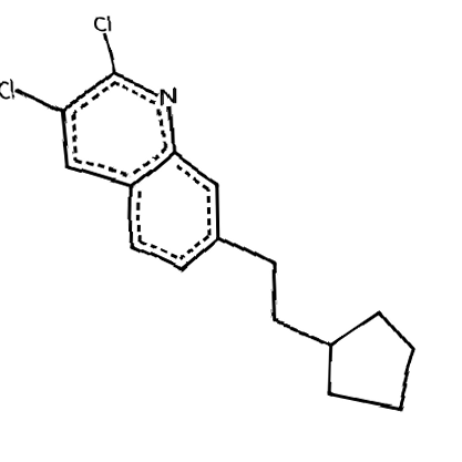 Clc1cc2ccc(CCC3CCCC3)cc2nc1Cl